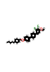 CCCCCC1CCC(COc2ccc(-c3ccc(-c4ccc(OCC)c(F)c4F)cc3)cc2)CC1